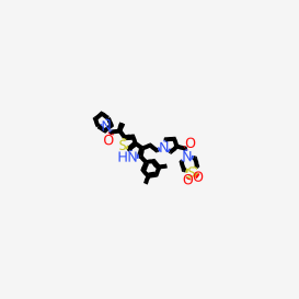 C=C(C(=O)N1C2CCC1CC2)c1cc2c(CCN3CCC(C(=O)N4CCS(=O)(=O)CC4)C3)c(-c3cc(C)cc(C)c3)[nH]c2s1